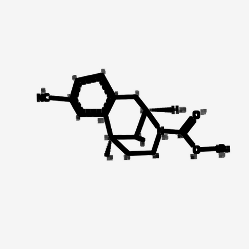 CC1[C@H]2Cc3ccc(C#N)cc3[C@]1(C)CCN2C(=O)OC(C)(C)C